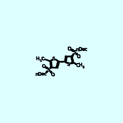 CCCCCCCCCCS(=O)(=O)c1cc(-c2cc(S(=O)(=O)CCCCCCCCCC)c(C)s2)sc1C